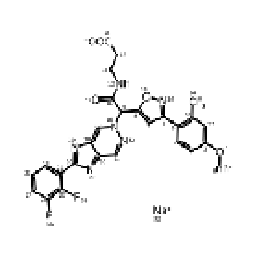 CCCOc1ccc(-c2cc(C(C(=O)NCCC(=O)[O-])n3cc4nc(-c5cccc(F)c5F)nc-4cn3)on2)c(C(F)(F)F)c1.[Na+]